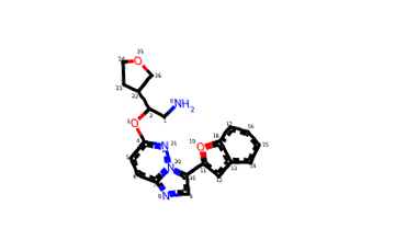 NCC(Oc1ccc2ncc(-c3cc4ccccc4o3)n2n1)C1CCOC1